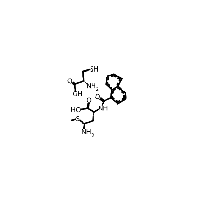 CSC(N)C[C@H](NC(=O)c1cccc2ccccc12)C(=O)O.N[C@@H](CS)C(=O)O